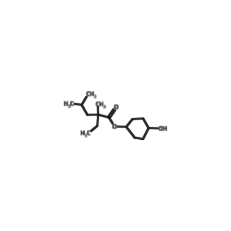 CCC(C)(CC(C)C)C(=O)OC1CCC(O)CC1